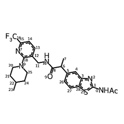 CC(=O)Nc1nc2cc(C(C)C(=O)NCc3ccc(C(F)(F)F)nc3N3CCC(C)CC3)ccc2s1